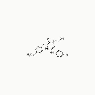 COc1ccc(CC(NC(=O)Nc2ccc(Cl)cc2)C(=O)NCCO)cc1